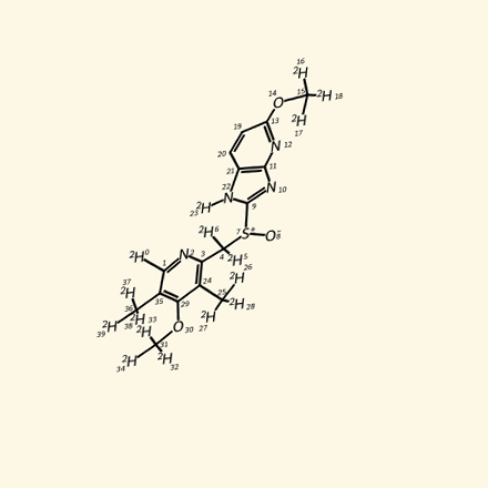 [2H]c1nc(C([2H])([2H])[S+]([O-])c2nc3nc(OC([2H])([2H])[2H])ccc3n2[2H])c(C([2H])([2H])[2H])c(OC([2H])([2H])[2H])c1C([2H])([2H])[2H]